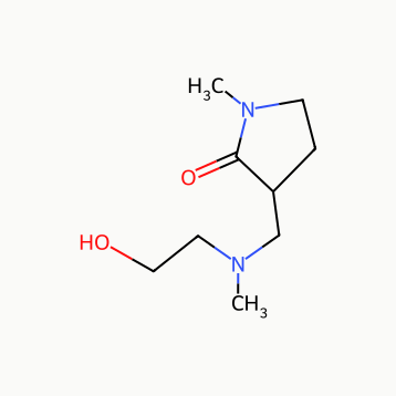 CN(CCO)CC1CCN(C)C1=O